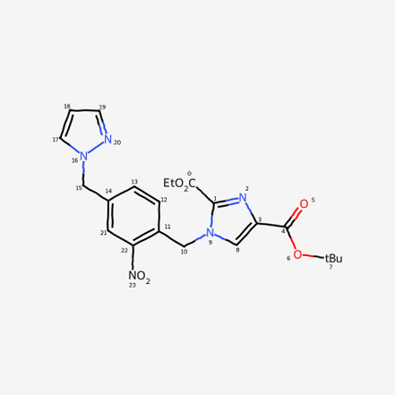 CCOC(=O)c1nc(C(=O)OC(C)(C)C)cn1Cc1ccc(Cn2cccn2)cc1[N+](=O)[O-]